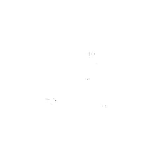 CC12C[C@H](c3ccc(C#CCN)cc3)C3=C4CCC(=O)C=C4CCC3C1CCC2O